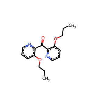 CCCOc1cccnc1C(=O)c1ncccc1OCCC